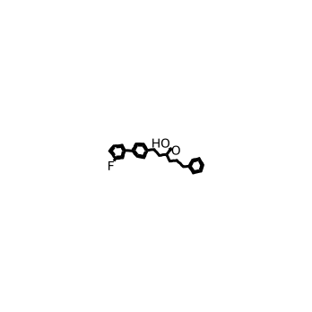 O=C(O)C(CCCc1ccccc1)CCc1ccc(-c2cccc(F)c2)cc1